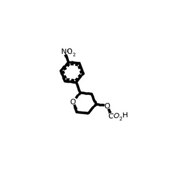 O=C(O)OC1CCOC(c2ccc([N+](=O)[O-])cc2)C1